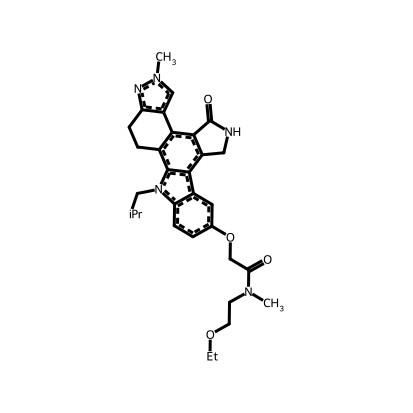 CCOCCN(C)C(=O)COc1ccc2c(c1)c1c3c(c4c(c1n2CC(C)C)CCc1nn(C)cc1-4)C(=O)NC3